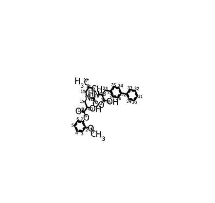 COc1ccccc1OC(=O)C(O)CN(CC(C)C)C(=O)N[C@@H](Cc1ccc(-c2ccccc2)cc1)C(=O)O